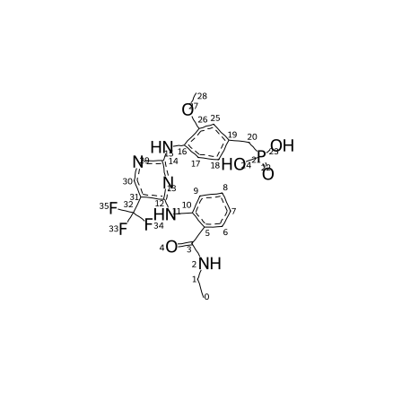 CCNC(=O)c1ccccc1Nc1nc(Nc2ccc(CP(=O)(O)O)cc2OC)ncc1C(F)(F)F